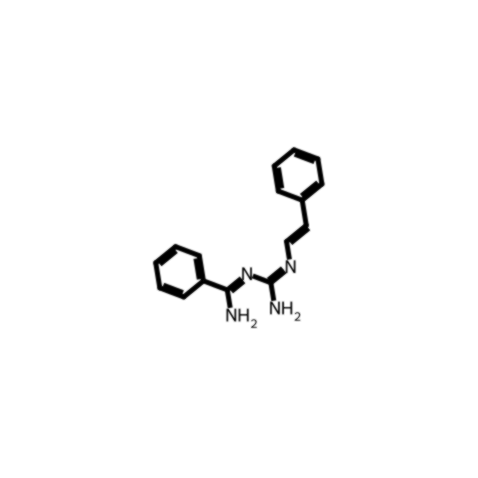 NC(=N/C=C/c1ccccc1)/N=C(\N)c1ccccc1